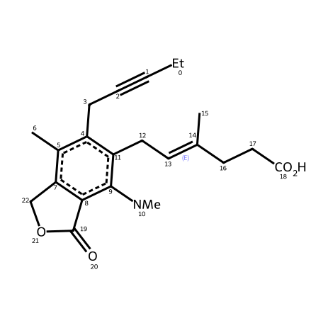 CCC#CCc1c(C)c2c(c(NC)c1C/C=C(\C)CCC(=O)O)C(=O)OC2